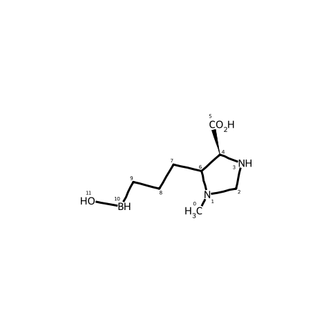 CN1CN[C@H](C(=O)O)C1CCCBO